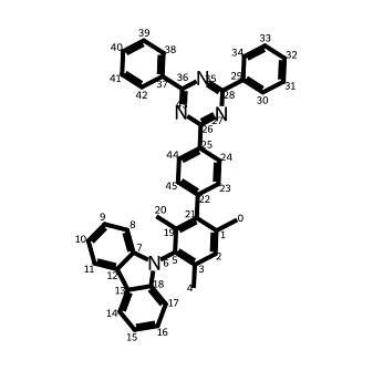 Cc1cc(C)c(-n2c3ccccc3c3ccccc32)c(C)c1-c1ccc(-c2nc(-c3ccccc3)nc(-c3ccccc3)n2)cc1